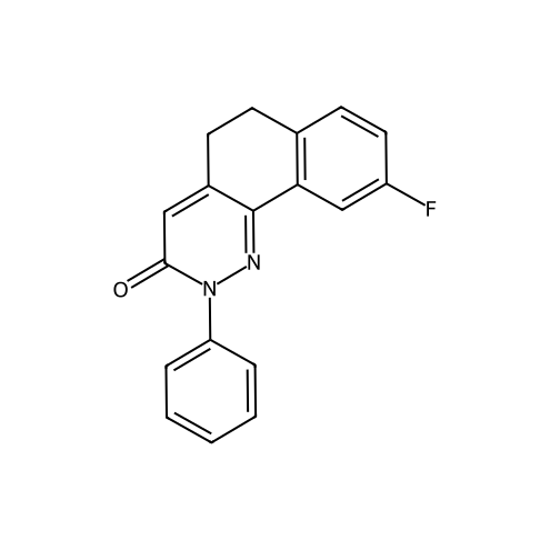 O=c1cc2c(nn1-c1ccccc1)-c1cc(F)ccc1CC2